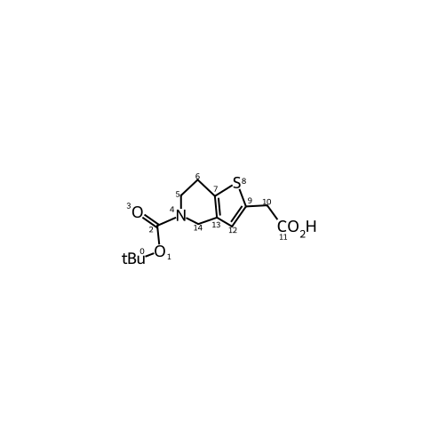 CC(C)(C)OC(=O)N1CCc2sc(CC(=O)O)cc2C1